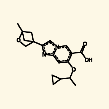 CC(Oc1cc2nc(C34COC(C)(C3)C4)cn2cc1C(=O)O)C1CC1